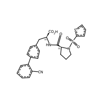 N#Cc1ccccc1-c1ccc(C[C@H](NC(=O)[C@@H]2CCCN2S(=O)(=O)c2cccs2)C(=O)O)cc1